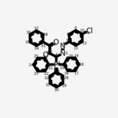 O=C(C(=O)C(N=Nc1ccc(Cl)cc1)[PH](c1ccccc1)(c1ccccc1)c1ccccc1)c1ccccc1